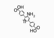 Nc1cc(-c2ccc(C(=O)O)cc2)ccc1-c1ccc(C(=O)O)cc1.[Ti]